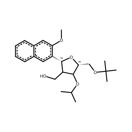 COc1cc2ccccc2cc1[C@@H]1O[C@H](COC(C)(C)C)C(OC(C)C)C1CO